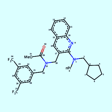 CCCN(CC1CCCC1)c1nc2ccccc2cc1CN(Cc1cc(C(F)(F)F)cc(C(F)(F)F)c1)C(=O)OC